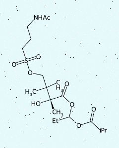 CCC(OC(=O)C(C)C)OC(=O)[C@](C)(O)C(C)(C)COS(=O)(=O)CCCNC(C)=O